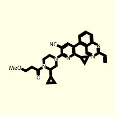 C=Cc1ncc2c(-c3cc(C#N)c(N4CCN(C(=O)CCOC)C(C5CC5)C4)nc3C3CC3)cccc2n1